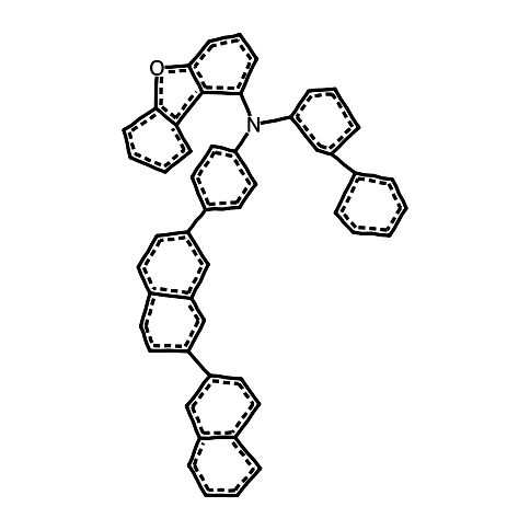 c1ccc(-c2cccc(N(c3ccc(-c4ccc5ccc(-c6ccc7ccccc7c6)cc5c4)cc3)c3cccc4oc5ccccc5c34)c2)cc1